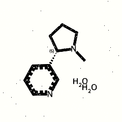 CN1CCC[C@H]1c1cccnc1.O.O